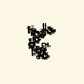 Cc1cc2n(CC(=O)Nc3cc(-c4ccc5c(=O)n(CC(=O)Nc6ccc(F)cn6)c6cc(C(F)(F)F)nn6c5n4)c(F)cn3)c(=O)c3cccnc3n2n1